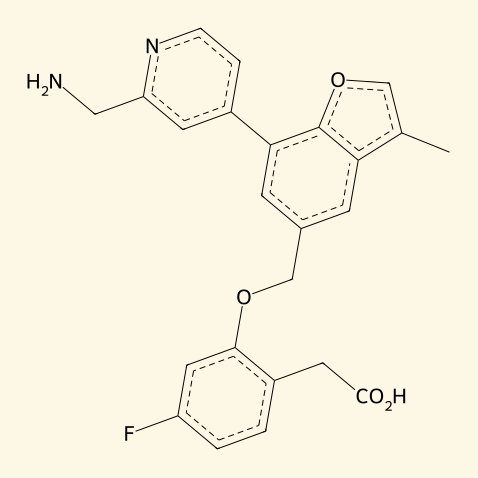 Cc1coc2c(-c3ccnc(CN)c3)cc(COc3cc(F)ccc3CC(=O)O)cc12